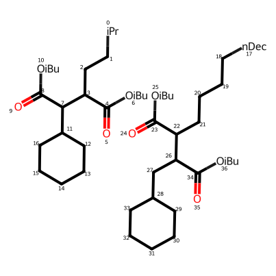 CC(C)CCC(C(=O)OCC(C)C)C(C(=O)OCC(C)C)C1CCCCC1.CCCCCCCCCCCCCCC(C(=O)OCC(C)C)C(CC1CCCCC1)C(=O)OCC(C)C